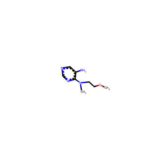 COCCN(C)c1ncncc1N